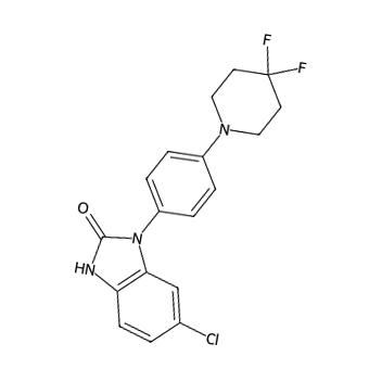 O=c1[nH]c2ccc(Cl)cc2n1-c1ccc(N2CCC(F)(F)CC2)cc1